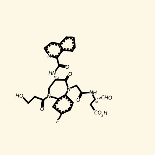 O=C[C@H](CC(=O)O)NC(=O)CN1C(=O)[C@@H](NC(=O)c2nccc3ccccc23)CN(C(=O)CCO)c2cc(F)ccc21